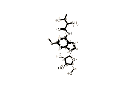 CSc1nc(NC(=O)C(N)C(C)O)c2ncn([C@@H]3O[C@H](CO)[C@@H](O)[C@H]3O)c2n1